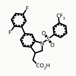 O=C(O)CC1CN(S(=O)(=O)c2cccc(C(F)(F)F)c2)c2cc(-c3cc(F)ccc3F)ccc21